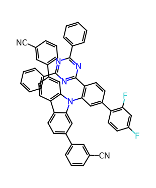 N#Cc1cccc(-c2ccc3c4ccc(-c5cccc(C#N)c5)cc4n(-c4cc(-c5ccc(F)cc5F)ccc4-c4nc(-c5ccccc5)nc(-c5ccccc5)n4)c3c2)c1